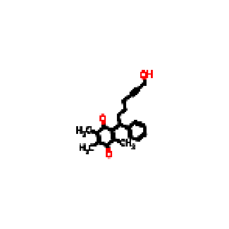 CC1=C(C)C(=O)C(C(CCCC#CCO)c2ccccc2)=C(C)C1=O